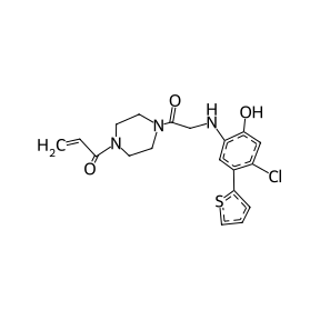 C=CC(=O)N1CCN(C(=O)CNc2cc(-c3cccs3)c(Cl)cc2O)CC1